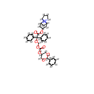 O=C(OCOC(C(=O)OC1CC2CCC(C1)[N+]21CCCC1)(c1ccccc1)c1ccccc1)OC1COC(c2ccccc2)OC1